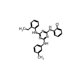 CCc1ccccc1Nc1nc(Nc2cccc(C)c2)nc(Nc2ccccc2Cl)n1